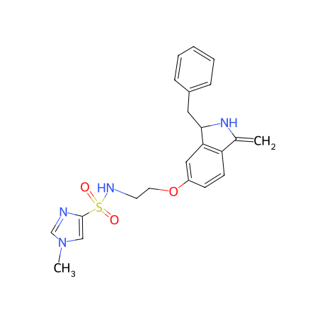 C=C1NC(Cc2ccccc2)c2cc(OCCNS(=O)(=O)c3cn(C)cn3)ccc21